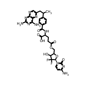 CC(Cc1cnc2nc(N)nc(N)c2n1)c1ccc(C(=O)NC(CCC(=O)OCC2O[C@@H](n3ccc(N)nc3=O)C(F)(F)C2O)C(=O)O)cc1